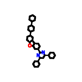 c1ccc(-c2ccc(-c3ccc4oc5cc(-c6nc(-c7ccccc7)cc(-c7ccccc7)n6)ccc5c4c3)cc2)cc1